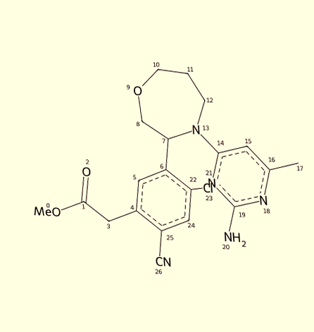 COC(=O)Cc1cc(C2COCCCN2c2cc(C)nc(N)n2)c(Cl)cc1C#N